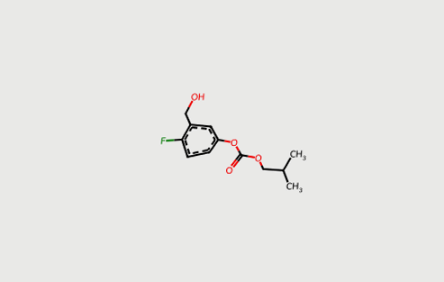 CC(C)COC(=O)Oc1ccc(F)c(CO)c1